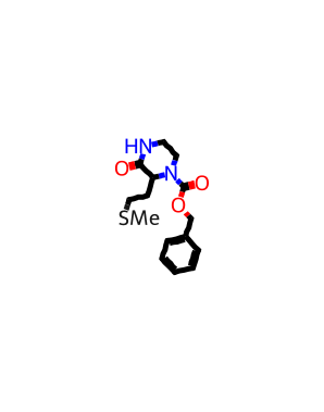 CSCCC1C(=O)NCCN1C(=O)OCc1ccccc1